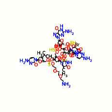 Cc1cn([C@H]2C[C@@H](OP(=S)(OCCOCCOCCN)OC[C@H]3O[C@@H](n4ccc(N)nc4=O)C[C@H]3C(C)C)[C@@H](COP(=O)(S)O[C@@H]3C[C@H](n4cnc5c(=O)[nH]c(N)nc54)O[C@@H]3COP(=O)(S)O[C@@H]3C[C@H](n4ccc(N)nc4=O)O[C@@H]3COP(=O)(S)O[C@@H]3C[C@H](n4cc(Br)c(=O)[nH]c4=O)O[C@@H]3CO)O2)c(=O)[nH]c1=O